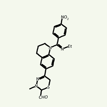 CCN=C(c1ccc([N+](=O)[O-])cc1)N1CCCc2cc(C3=NN(C)C(C=O)SC3)ccc21